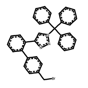 BrCc1ccc(-c2ccccc2-c2cn(C(c3ccccc3)(c3ccccc3)c3ccccc3)nn2)cc1